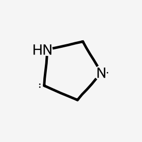 [C]1C[N]CN1